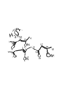 CC(=O)/C=C(/C)O.CC(=O)/C=C(/C)O.CC(=O)/C=C(/C)O.O.[Pr]